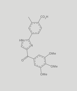 COc1cc(C(=O)c2c[nH]c(-c3ccc(C(=O)O)c(C)c3)n2)cc(OC)c1OC